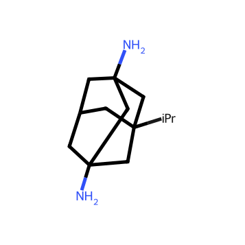 CC(C)C12CC3CC(N)(CC(N)(C3)C1)C2